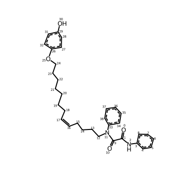 O=C(Nc1ccccc1)C(=O)N(CCCC/C=C\CCCCCCCOc1ccc(O)cc1)c1ccccc1